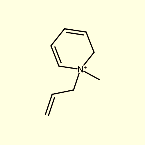 C=CC[N+]1(C)C=CC=CC1